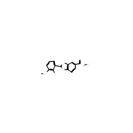 COc1cccc(-c2nc3ccc(C(=O)NO)cc3s2)c1F